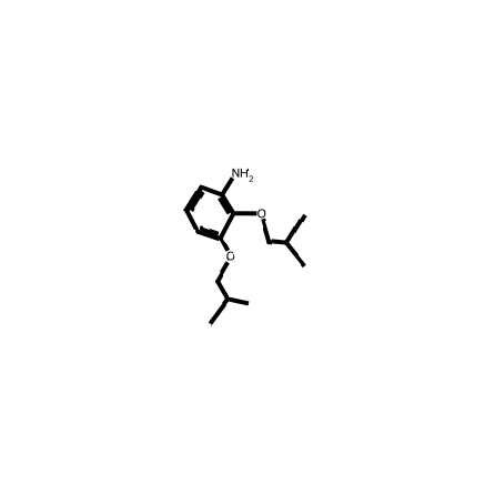 CC(C)COc1cccc(N)c1OCC(C)C